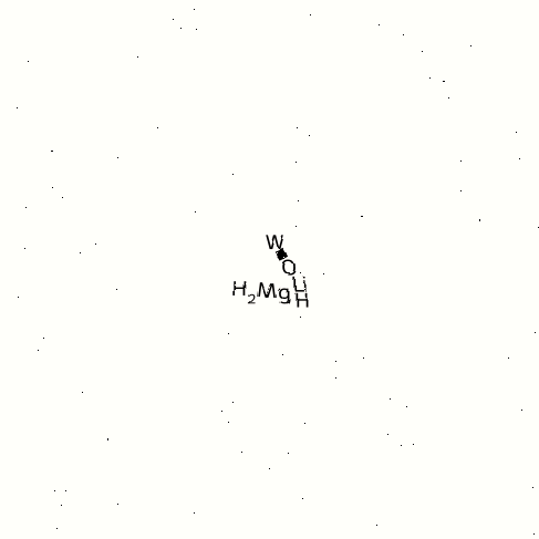 [LiH].[MgH2].[O]=[W]